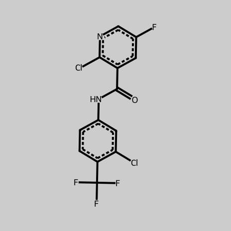 O=C(Nc1ccc(C(F)(F)F)c(Cl)c1)c1cc(F)cnc1Cl